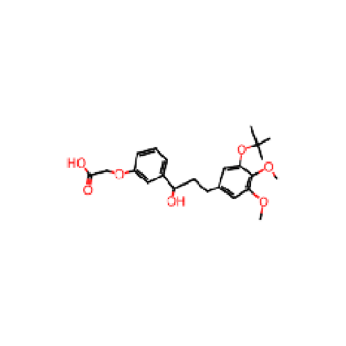 COc1cc(CCC(O)c2cccc(OCC(=O)O)c2)cc(OC(C)(C)C)c1OC